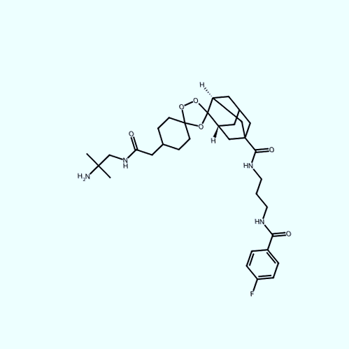 CC(C)(N)CNC(=O)CC1CCC2(CC1)OOC1(O2)[C@@H]2CC3C[C@H]1CC(C(=O)NCCCNC(=O)c1ccc(F)cc1)(C3)C2